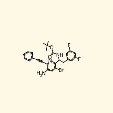 CC(C)(C)OC(=O)NC(Cc1cc(F)cc(F)c1)c1nc(C#Cc2ccccc2)c(N)cc1Br